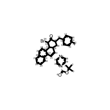 CC(C)(C)OC=O.O=C1C(Cc2ccc(F)cc2)CC2C=Cc3c(ccc4ccccc34)C2C1Br.c1cnccn1